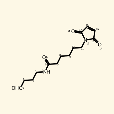 O=CCCCNC(=O)CCCCCN1C(=O)C=CC1=O